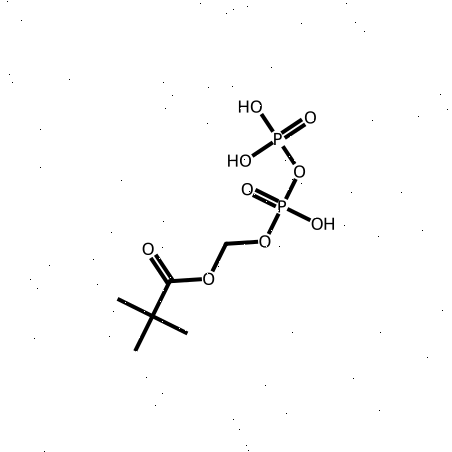 CC(C)(C)C(=O)OCOP(=O)(O)OP(=O)(O)O